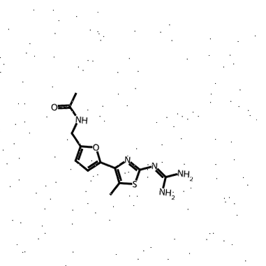 CC(=O)NCc1ccc(-c2nc(N=C(N)N)sc2C)o1